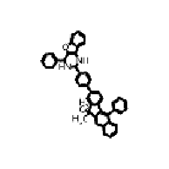 CC1(C)c2cc(-c3ccc(C4Nc5c(oc6ccccc56)C(C5=CC=CCC5)N4)cc3)ccc2-c2c1cc1ccccc1c2-c1ccccc1